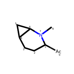 CC(=O)C1CCC2CC2N1C